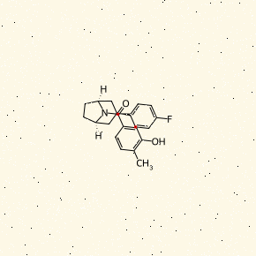 Cc1ccc(C(=O)N2[C@@H]3CC[C@H]2C[C@@H](c2ccc(F)cc2)C3)cc1O